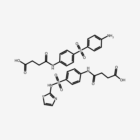 Nc1ccc(S(=O)(=O)c2ccc(NC(=O)CCC(=O)O)cc2)cc1.O=C(O)CCC(=O)Nc1ccc(S(=O)(=O)Nc2nccs2)cc1